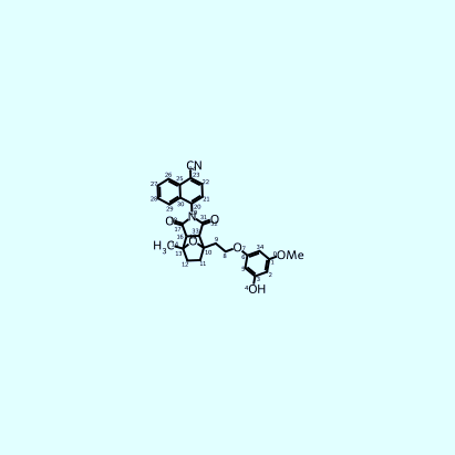 COc1cc(O)cc(OCCC23CCC(C)(O2)C2C(=O)N(c4ccc(C#N)c5ccccc45)C(=O)C23)c1